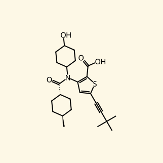 CC(C)(C)C#Cc1cc(N(C(=O)[C@H]2CC[C@H](C)CC2)C2CCC(O)CC2)c(C(=O)O)s1